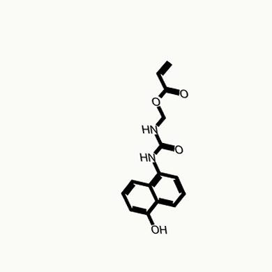 C=CC(=O)OCNC(=O)Nc1cccc2c(O)cccc12